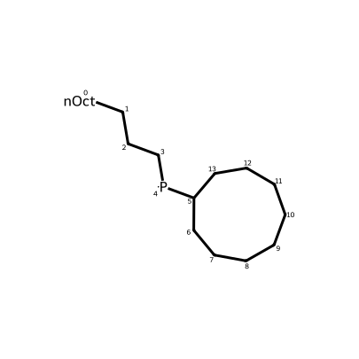 CCCCCCCCCCC[P]C1CCCCCCCC1